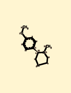 COc1ccc([C@H]2C[N]CCN2C)cc1